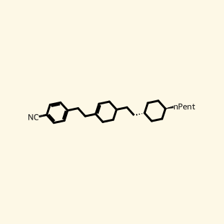 CCCCC[C@H]1CC[C@H](CCC2CC=C(CCc3ccc(C#N)cc3)CC2)CC1